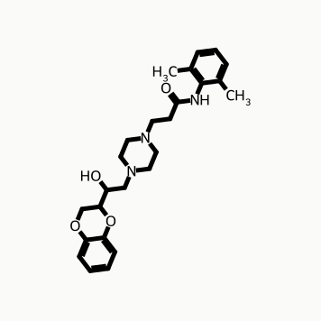 Cc1cccc(C)c1NC(=O)CCN1CCN(CC(O)C2COc3ccccc3O2)CC1